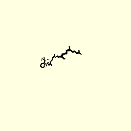 CC(C)=CCCC(C)=CCCC(C)=CCCC(C)=CCCC(C)=CC(=O)N1CCCCC1CN(C)C